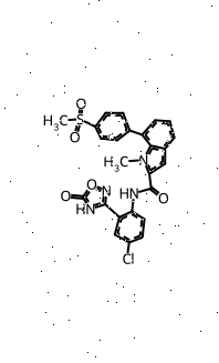 Cn1c(C(=O)Nc2ccc(Cl)cc2-c2noc(=O)[nH]2)cc2cccc(-c3ccc(S(C)(=O)=O)cc3)c21